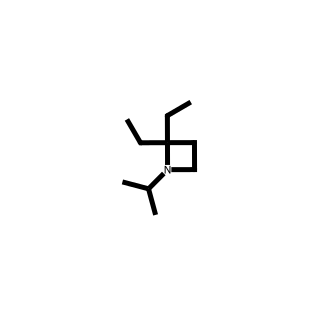 CCC1(CC)CCN1C(C)C